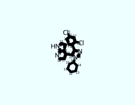 Clc1ccc(-c2ncn(C3CCCCC3)c2-c2ccnc3[nH]ccc23)c(Cl)c1